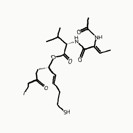 C/C=C(\NC(C)=O)C(=O)N[C@H](C(=O)O[C@H](/C=C/CCS)CC(=O)CI)C(C)C